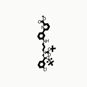 COC(=O)c1cccc(-c2cccc(NCCCN(C[C@@H](O[Si](C)(C)C(C)(C)C)c3cccc(Cl)c3)C(=O)OC(C)(C)C)c2)n1